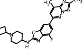 Cc1nc2c(C)cc(-c3cc(F)c4nc(NC5CCN(C6CCC6)CC5)oc4c3)nn2n1